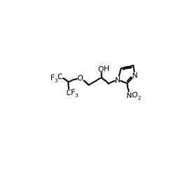 O=[N+]([O-])c1nccn1CC(O)COC(C(F)(F)F)C(F)(F)F